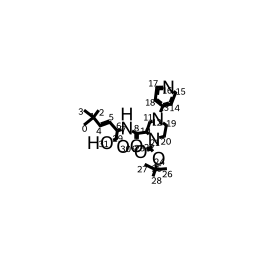 CC(C)(C)/C=C/C(NC(=O)C1CN(c2ccncc2)CCN1C(=O)OC(C)(C)C)C(=O)O